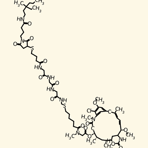 CCCC(C)(CC)CCNC(=O)CCCN1C(=O)CC(SCCCC(=O)NCC(=O)NCC(=O)NCC(=O)NCSCCCCCC(=O)N(C)CC(=O)O[C@H]2CC(=O)N(C)c3cc(cc(OC)c3Cl)C/C(C)=C/C=C/[C@@H](OC)C3C[C@H](OC(=O)N3)[C@@H](C)C[C@@H]2C)C1=O